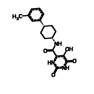 Cc1cccc([C@H]2CC[C@@H](NC(=O)c3[nH]c(=O)[nH]c(=O)c3O)CC2)c1